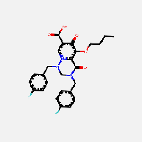 CCCCOc1c2n(cc(C(=O)O)c1=O)N(Cc1ccc(F)cc1)CN(Cc1ccc(F)cc1)C2=O